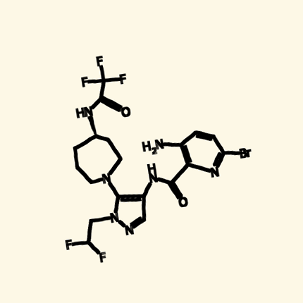 Nc1ccc(Br)nc1C(=O)Nc1cnn(CC(F)F)c1N1CCC[C@@H](NC(=O)C(F)(F)F)CC1